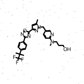 Cc1cc(-c2nc(-c3ccc(C(C)(C)C(F)(F)F)cc3)no2)nn1Cc1ccc(N(C)CCCO)nc1